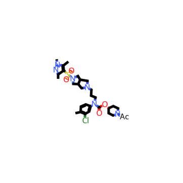 CC(=O)N1CCC(OC(=O)N(CCCN2CC3CN(S(=O)(=O)c4c(C)nn(C)c4C)CC3C2)c2ccc(C)c(Cl)c2)CC1